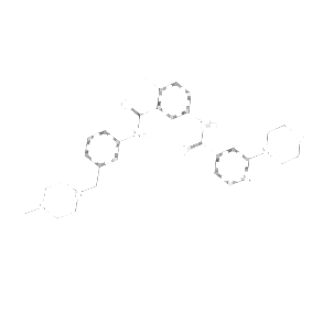 Cc1ccc(NC(=O)c2ccnc(N3CCOCC3)c2)cc1C(=O)Nc1cccc(CN2CCN(C)CC2)c1